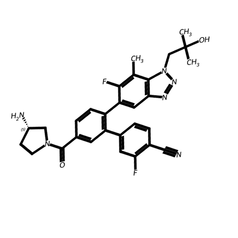 Cc1c(F)c(-c2ccc(C(=O)N3CC[C@H](N)C3)cc2-c2ccc(C#N)c(F)c2)cc2nnn(CC(C)(C)O)c12